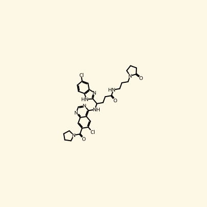 O=C(CCC(Nc1ncnc2cc(C(=O)N3CCCC3)c(Cl)cc12)c1nc2cc(Cl)ccc2[nH]1)NCCCN1CCCC1=O